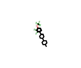 CC1CCC(C2CC=C(c3ccc(OC(F)(F)F)c(F)c3F)CC2)CC1